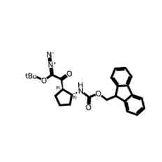 CC(C)(C)OC(=[N+]=[N-])C(=O)[C@@H]1CCC[C@H]1NC(=O)OCC1c2ccccc2-c2ccccc21